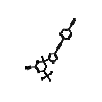 C[C@@]1(c2cc(C#Cc3ccc(C#N)cn3)cs2)C[C@@H](C(F)(F)F)N=C(N)O1